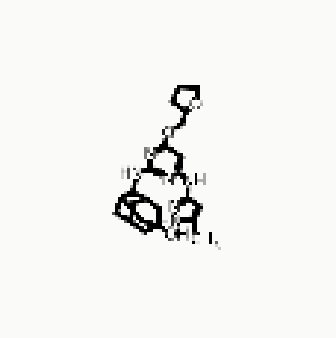 Cc1cc(Nc2cc(OCC3CCCO3)nc(NC3C4CC5CC3CC(O)(C5)C4)n2)n[nH]1